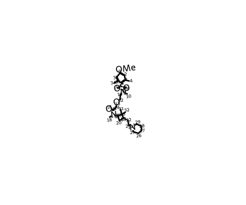 COc1cc(C)c(S(=O)(=O)N(C)CCOCC(=O)N(C)[C@@H]2C[C@H](CCN3CCCCC3)C2(C)C)c(C)c1